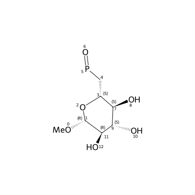 CO[C@@H]1O[C@H](CP=O)[C@@H](O)[C@H](O)[C@H]1O